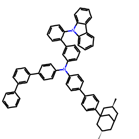 C[C@H]1CC2C[C@H](C)CC(c3ccc(-c4ccc(N(c5ccc(-c6cccc(-c7ccccc7)c6)cc5)c5cccc(-c6ccccc6-n6c7ccccc7c7ccccc76)c5)cc4)cc3)(C2)C1